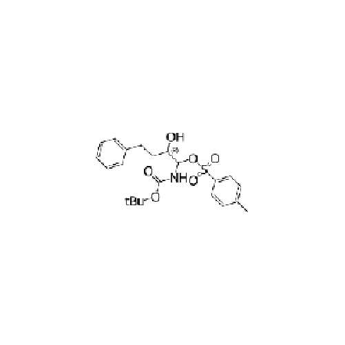 Cc1ccc(S(=O)(=O)OC(NC(=O)OC(C)(C)C)[C@H](O)CCc2ccccc2)cc1